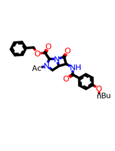 CCCCOc1ccc(C(=O)NC2C(=O)N3C2CN(C(C)=O)C3C(=O)OCc2ccccc2)cc1